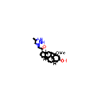 COC1C2C[C@]3(C)[C@@H](C(=O)CN4CC(C)NN4)CC[C@H]3[C@@H]3CC[C@H]4C[C@H](O)CC[C@@]14C23